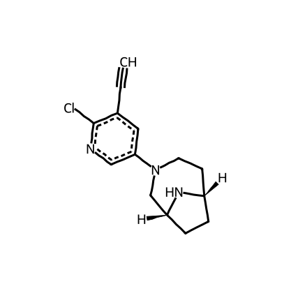 C#Cc1cc(N2CC[C@@H]3CC[C@H](C2)N3)cnc1Cl